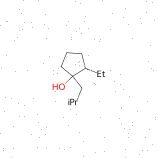 CCC1CCCC1(O)CC(C)C